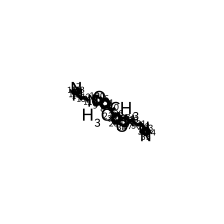 CC(C)(c1ccc2c(c1)CN(CCCn1ccnc1)CO2)c1ccc2c(c1)CN(CCCn1ccnc1)CO2